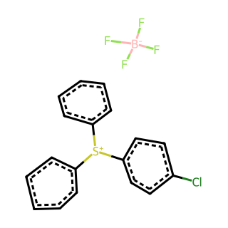 Clc1ccc([S+](c2ccccc2)c2ccccc2)cc1.F[B-](F)(F)F